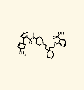 Cc1ccc(-c2ccoc2C(=O)NC2CCN(CCC3(CCOc4ccccc4C(=O)O)CCCCC3)CC2)cc1